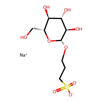 O=S(=O)([O-])CCCO[C@@H]1O[C@H](CO)[C@@H](O)[C@H](O)[C@H]1O.[Na+]